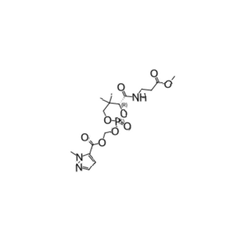 COC(=O)CCNC(=O)[C@@H]1O[P@@](=O)(OCOC(=O)c2ccnn2C)OCC1(C)C